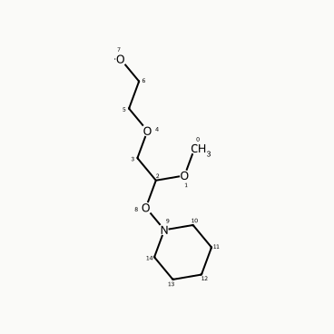 COC(COCC[O])ON1CCCCC1